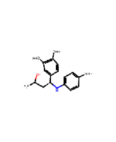 COc1ccc(N[C@@H](CC(C)O)c2ccc(OC)c(OC)c2)cc1